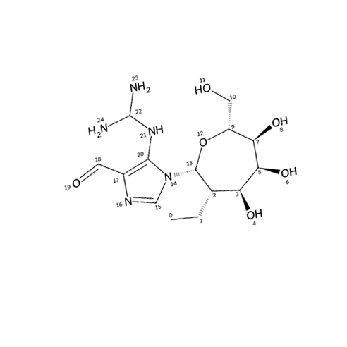 CC[C@H]1[C@H](O)[C@H](O)[C@H](O)[C@@H](CO)O[C@H]1n1cnc(C=O)c1NC(N)N